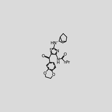 CCCC(=O)Nc1nc(N[C@H]2CC3CCC2C3)sc1C(=O)c1ccc2c(c1)OCCO2